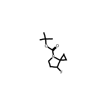 CC(C)(C)OC(=O)N1CCC(F)C12CC2